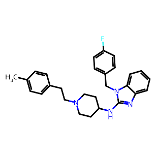 Cc1ccc(CCN2CCC(Nc3nc4ccccc4n3Cc3ccc(F)cc3)CC2)cc1